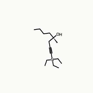 CCCC[C@](C)(O)CC#C[Si](CC)(CC)CC